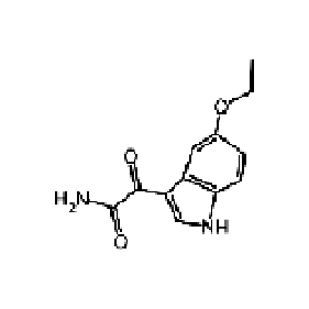 CCOc1ccc2[nH]cc(C(=O)C(N)=O)c2c1